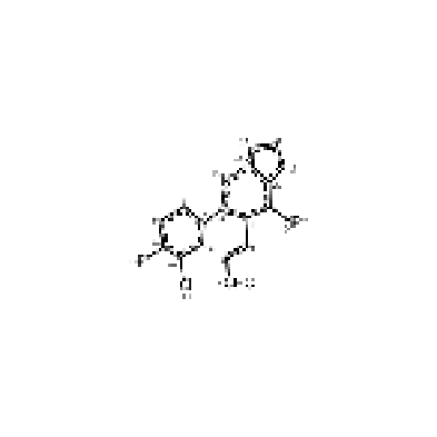 CC(C)c1c(/C=C/C=O)c(-c2ccc(F)c(Cl)c2)nn2cccc12